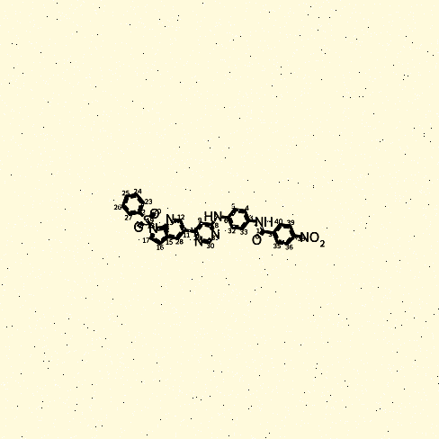 O=C(Nc1ccc(Nc2cc(-c3cnc4c(ccn4S(=O)(=O)c4ccccc4)c3)ncn2)cc1)c1ccc([N+](=O)[O-])cc1